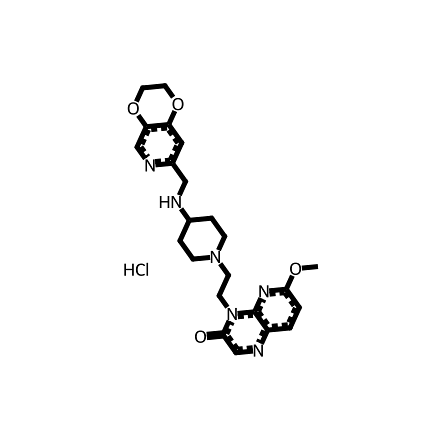 COc1ccc2ncc(=O)n(CCN3CCC(NCc4cc5c(cn4)OCCO5)CC3)c2n1.Cl